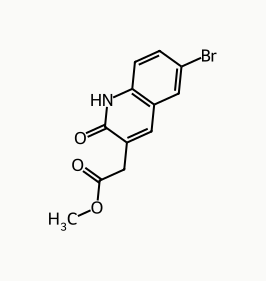 COC(=O)Cc1cc2cc(Br)ccc2[nH]c1=O